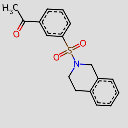 CC(=O)c1cccc(S(=O)(=O)N2CCc3ccccc3C2)c1